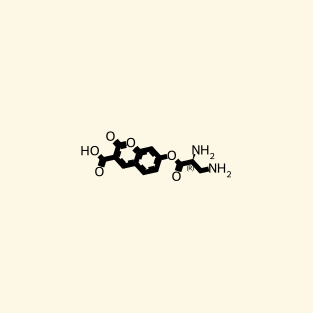 NC[C@@H](N)C(=O)Oc1ccc2cc(C(=O)O)c(=O)oc2c1